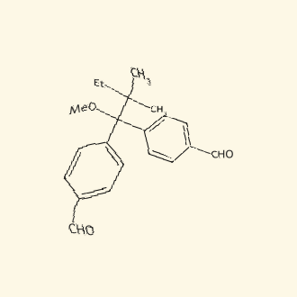 CCC(C)(C)C(OC)(c1ccc(C=O)cc1)c1ccc(C=O)cc1